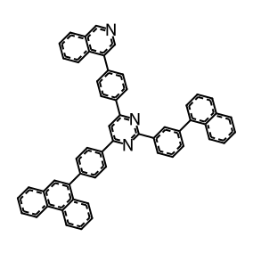 c1cc(-c2nc(-c3ccc(-c4cncc5ccccc45)cc3)cc(-c3ccc(-c4cc5ccccc5c5ccccc45)cc3)n2)cc(-c2cccc3ccccc23)c1